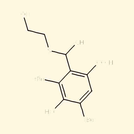 CC(SCCO)c1c(C(=O)O)cc(C(C)(C)C)c(O)c1C(C)(C)C